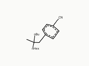 CCCCCCC(C)(CCCC)Cc1ccc(C#N)cc1